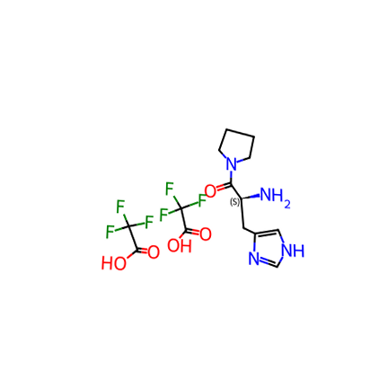 N[C@@H](Cc1c[nH]cn1)C(=O)N1CCCC1.O=C(O)C(F)(F)F.O=C(O)C(F)(F)F